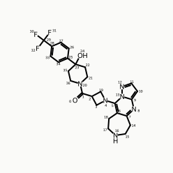 O=C(C1CN(c2c3c(nc4ccnn24)CCNCC3)C1)N1CCC(O)(c2ccc(C(F)(F)F)cc2)CC1